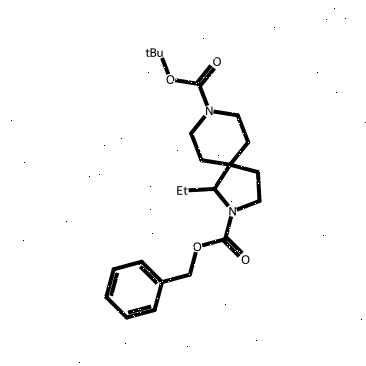 CCC1N(C(=O)OCc2ccccc2)CCC12CCN(C(=O)OC(C)(C)C)CC2